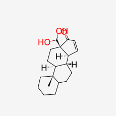 C[C@]12CCCCC1CC[C@@H]1[C@@H]2CC[C@]2(C(O)O)C(=O)C=C[C@@H]12